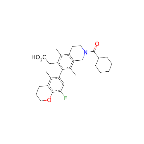 Cc1c(-c2c(C)c3c(c(C)c2CC(=O)O)CCN(C(=O)C2CCCCC2)C3)cc(F)c2c1CCCO2